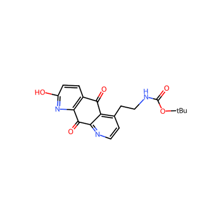 CC(C)(C)OC(=O)NCCc1ccnc2c1C(=O)c1ccc(O)nc1C2=O